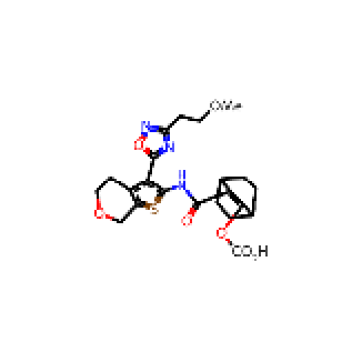 COCCc1noc(-c2c(NC(=O)C3=C(OC(=O)O)C4CCC3CC4)sc3c2CCOC3)n1